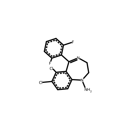 NN1CCN=C(c2c(F)cccc2F)c2c1ccc(Cl)c2Cl